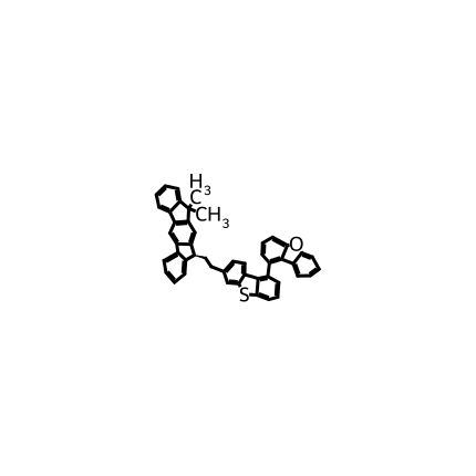 CC1(C)c2ccccc2-c2cc3c(cc21)[C@@H](CCc1ccc2c(c1)sc1cccc(-c4cccc5oc6ccccc6c45)c12)c1ccccc1-3